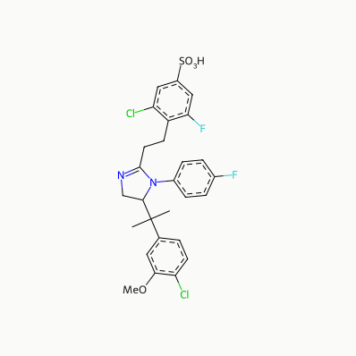 COc1cc(C(C)(C)C2CN=C(CCc3c(F)cc(S(=O)(=O)O)cc3Cl)N2c2ccc(F)cc2)ccc1Cl